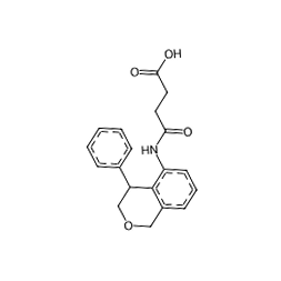 O=C(O)CCC(=O)Nc1cccc2c1C(c1ccccc1)COC2